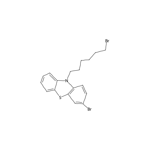 BrCCCCCCN1c2ccccc2Sc2cc(Br)ccc21